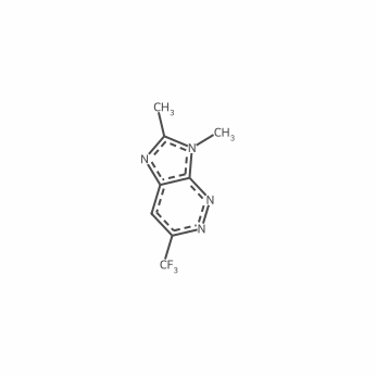 Cc1nc2cc(C(F)(F)F)nnc2n1C